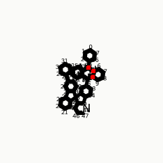 c1ccc(-c2c3ccccc3c(-c3ccc4c(c3)C3(c5ccccc5-c5cc6c7ccccc7n(-c7ncncn7)c6cc53)c3cccnc3-4)c3ccccc23)cc1